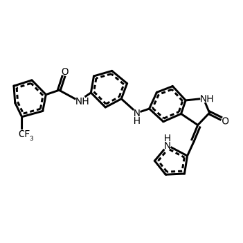 O=C1Nc2ccc(Nc3cccc(NC(=O)c4cccc(C(F)(F)F)c4)c3)cc2C1=Cc1ccc[nH]1